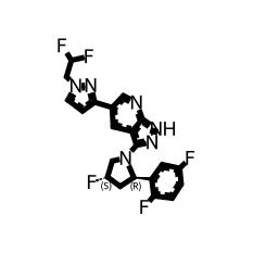 Fc1ccc(F)c([C@H]2C[C@H](F)CN2c2n[nH]c3ncc(-c4ccn(CC(F)F)n4)cc23)c1